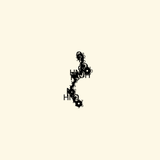 O=C(Cc1ccccc1)Nc1ccc(CCCCc2nnc(NC(O)C(OC(=O)CCN3CCOCC3)c3ccccc3)s2)nn1